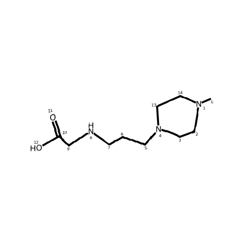 CN1CCN(CCCNCC(=O)O)CC1